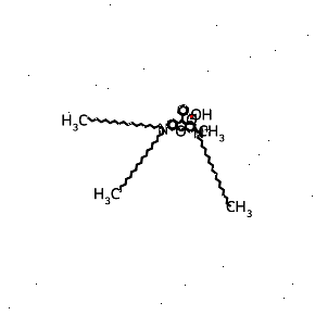 CCCCCCCCCCCCCCCCCCN(CCCCCCCCCCCCCCCCCC)c1ccc2c(-c3ccccc3C(=O)O)c3cc/c(=[N+](\C)CCCCCCCCCCCCCCCCCC)cc-3oc2c1